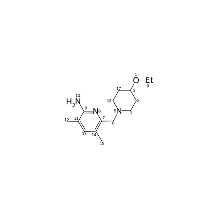 CCOC1CCN(Cc2nc(N)c(C)cc2C)CC1